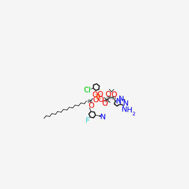 CCCCCCCCCCCCCCCC[C@H](COP(=O)(OC[C@@](C)(OC)[C@H]1OC(C)(C)O[C@H]1c1ccc2c(N)ncnn12)Oc1ccccc1Cl)OCc1cc(F)cc(C#N)c1